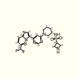 O=S(=O)(N[C@H]1CCCN(c2cc(-c3cnc4ccc(C(F)F)nn34)ncn2)C1)C1CNC1